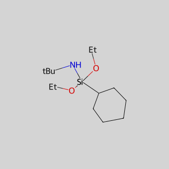 CCO[Si](NC(C)(C)C)(OCC)C1CCCCC1